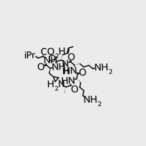 C/C=C/C[C@H](NC(=O)[C@H](CCCCN)NC(=O)[C@H](CCCCN)NC(=O)[C@H](C)N)C(=O)N[C@@H](CC1CC1)C(=O)N[C@@H](CC(C)C)C(=O)O